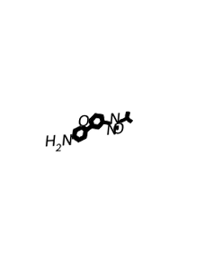 C=C(C)c1nc(-c2ccc3oc4cc(N)ccc4c3c2)no1